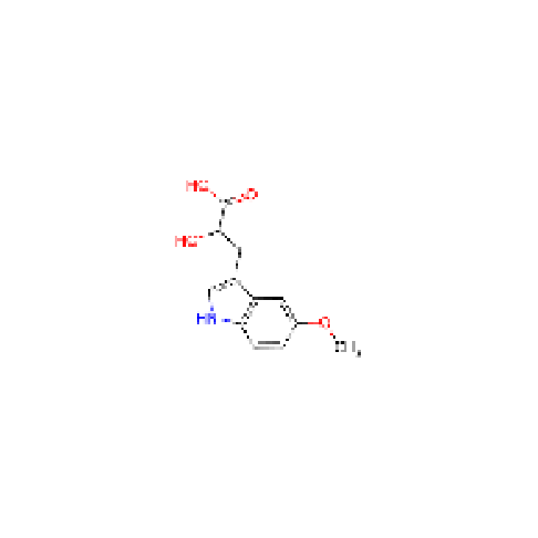 COc1ccc2[nH]cc(CC(O)C(=O)O)c2c1